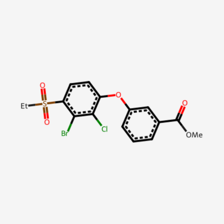 CCS(=O)(=O)c1ccc(Oc2cccc(C(=O)OC)c2)c(Cl)c1Br